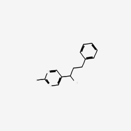 OC(CCc1ccccc1)c1cnc(Cl)nc1